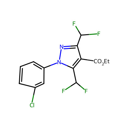 CCOC(=O)c1c(C(F)F)nn(-c2cccc(Cl)c2)c1C(F)F